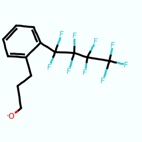 [O]CCCc1ccccc1C(F)(F)C(F)(F)C(F)(F)C(F)(F)F